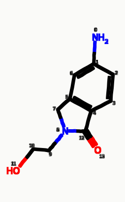 Nc1ccc2c(c1)CN(CCO)C2=O